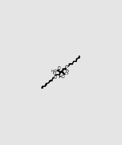 CCCCCCCCOC(=O)CC(C(=O)O)=C(CC(=O)OCCCCCCCC)C(=O)O